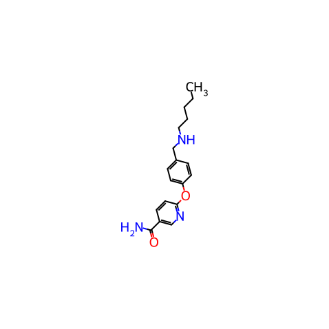 CCCCCNCc1ccc(Oc2ccc(C(N)=O)cn2)cc1